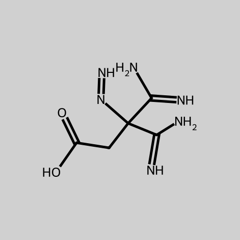 N=NC(CC(=O)O)(C(=N)N)C(=N)N